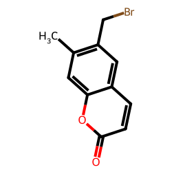 Cc1cc2oc(=O)ccc2cc1CBr